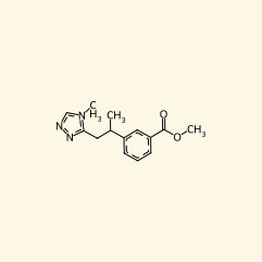 COC(=O)c1cccc(C(C)Cc2nncn2C)c1